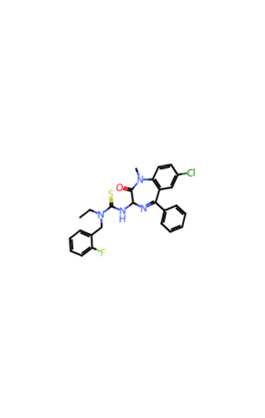 CCN(Cc1ccccc1F)C(=S)NC1N=C(c2ccccc2)c2cc(Cl)ccc2N(C)C1=O